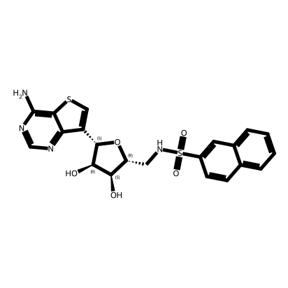 Nc1ncnc2c([C@@H]3O[C@H](CNS(=O)(=O)c4ccc5ccccc5c4)[C@@H](O)[C@H]3O)csc12